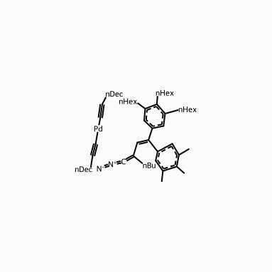 CCCCCCCCCCC#[C][Pd][C]#CCCCCCCCCCC.CCCCCCc1cc(C(=CC(=C=[N+]=[N-])CCCC)c2cc(C)c(C)c(C)c2)cc(CCCCCC)c1CCCCCC